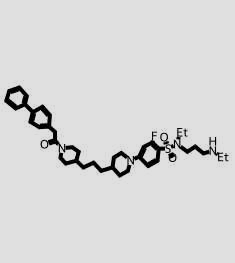 CCNCCCN(CC)S(=O)(=O)c1ccc(N2CCC(CCCC3CCN(C(=O)Cc4ccc(-c5ccccc5)cc4)CC3)CC2)cc1F